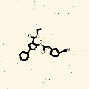 CCOC(=O)c1cc(-c2ccccc2)sc1NC(=O)Cc1cccc(C#N)c1